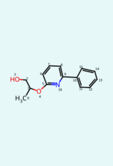 CC(CO)Oc1cccc(-c2ccccc2)n1